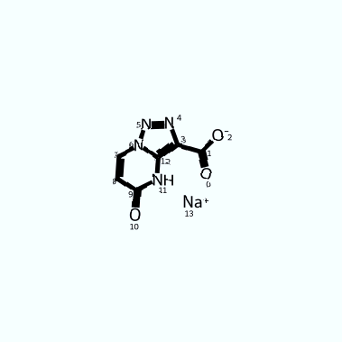 O=C([O-])c1nnn2ccc(=O)[nH]c12.[Na+]